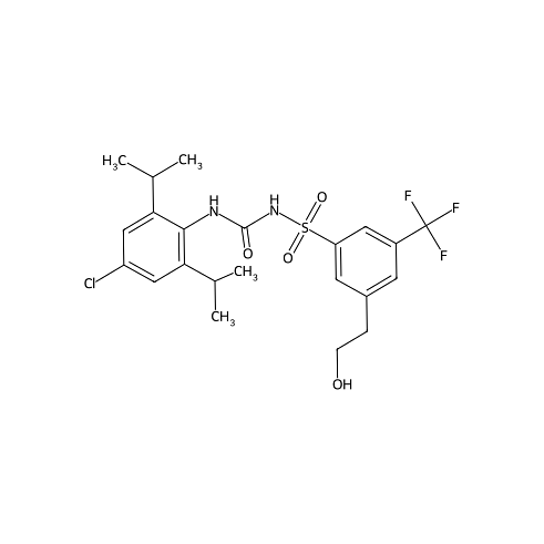 CC(C)c1cc(Cl)cc(C(C)C)c1NC(=O)NS(=O)(=O)c1cc(CCO)cc(C(F)(F)F)c1